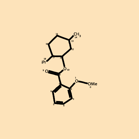 COOc1ccccc1C(=O)OC1CC(C)CCC1C(C)C